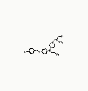 CC(C)CCN(c1ccc(OCc2ccc(Cl)cc2)cc1)C1CCN(C[C@H](N)CC(C)C)CC1